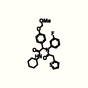 COCOc1ccc(C(C(=O)NC2CCCCC2)N(C(=O)Cc2cccs2)c2cccc(F)c2)cc1